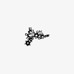 CCC(CC)COC(=O)[C@H](C)NP(=O)(OC[C@H]1OC(OC(C)=O)[C@@H](NC(=O)CN=[N+]=[N-])[C@@H](OC(C)=O)[C@@H]1OC(C)=O)Oc1ccccc1